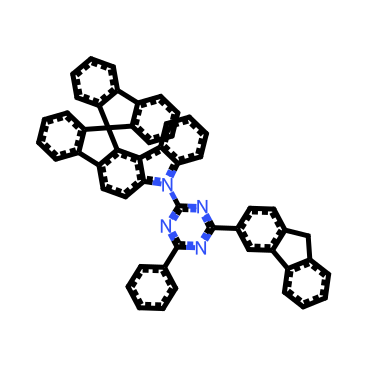 c1ccc(-c2nc(-c3ccc4c(c3)-c3ccccc3C4)nc(-n3c4ccccc4c4c5c(ccc43)-c3ccccc3C53c4ccccc4-c4ccccc43)n2)cc1